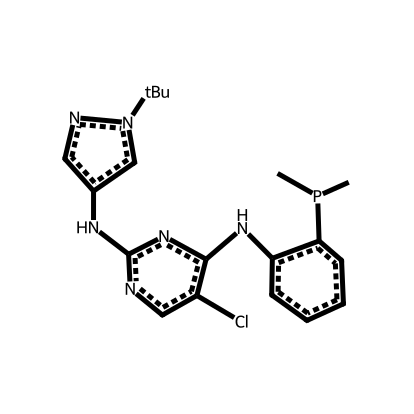 CP(C)c1ccccc1Nc1nc(Nc2cnn(C(C)(C)C)c2)ncc1Cl